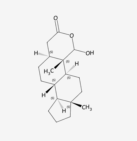 C[C@@]12CCC[C@H]1[C@@H]1CC[C@H]3CC(=O)OC(O)[C@]3(C)[C@H]1CC2